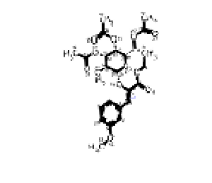 CCOC(=O)/C(=C/c1cccc(OC)c1)O[C@H]1O[C@@H](COC(C)=O)[C@@H](OC(C)=O)[C@@H](OC(C)=O)[C@@H]1C